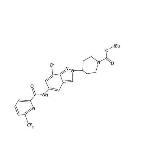 CC(C)(C)OC(=O)N1CCC(n2cc3cc(NC(=O)c4cccc(C(F)(F)F)n4)cc(Br)c3n2)CC1